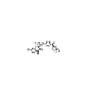 N/C(=C\Nc1ccc(C(=O)N2CCC3(COC3)C2)cc1)c1cc2cc(Cl)ccc2[nH]c1=O